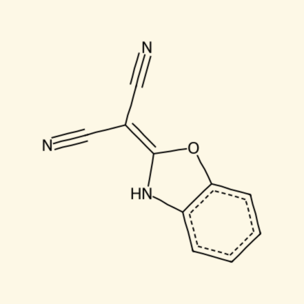 N#CC(C#N)=C1Nc2ccccc2O1